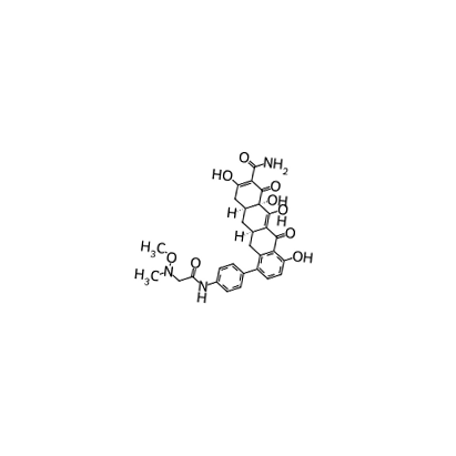 CON(C)CC(=O)Nc1ccc(-c2ccc(O)c3c2C[C@H]2C[C@H]4CC(O)=C(C(N)=O)C(=O)[C@@]4(O)C(O)=C2C3=O)cc1